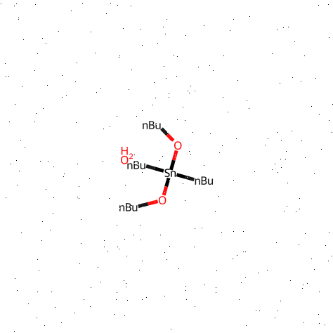 CCCC[O][Sn]([CH2]CCC)([CH2]CCC)[O]CCCC.O